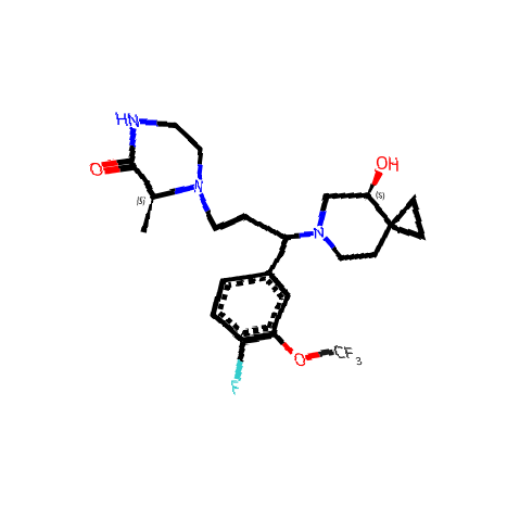 C[C@H]1C(=O)NCCN1CCC(c1ccc(F)c(OC(F)(F)F)c1)N1CCC2(CC2)[C@H](O)C1